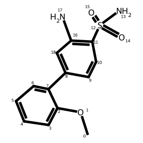 COc1ccccc1-c1ccc(S(N)(=O)=O)c(N)c1